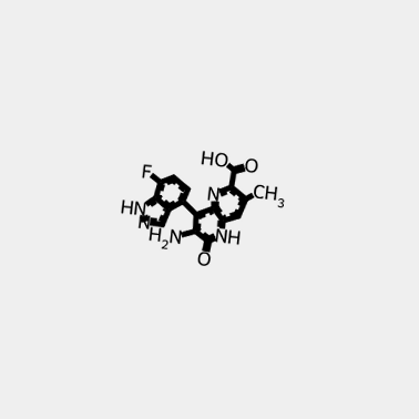 Cc1cc2[nH]c(=O)c(N)c(-c3ccc(F)c4[nH]ncc34)c2nc1C(=O)O